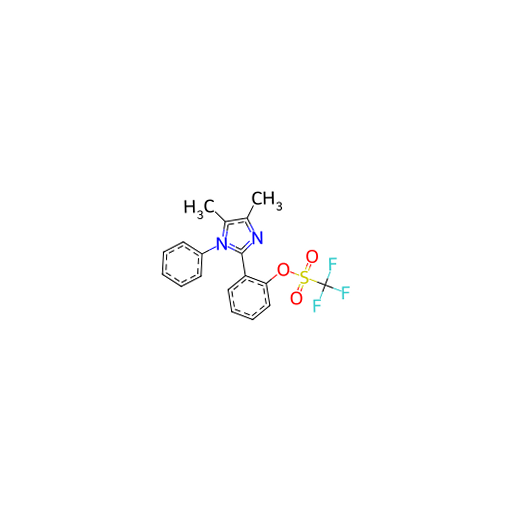 Cc1nc(-c2ccccc2OS(=O)(=O)C(F)(F)F)n(-c2ccccc2)c1C